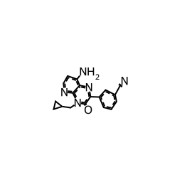 N#Cc1cccc(-c2nc3c(N)ccnc3n(CC3CC3)c2=O)c1